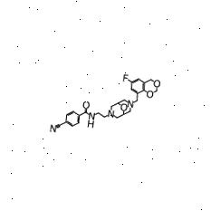 N#Cc1ccc(C(=O)NCCN2CC3CN(Cc4cc(F)cc5c4OCOC5)CC(C2)O3)cc1